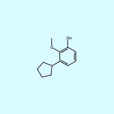 COc1c(O)cccc1N1CCCC1